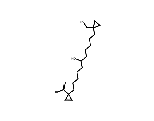 O=C(O)C1(CCCCCC(O)CCCCCC2(CO)CC2)CC1